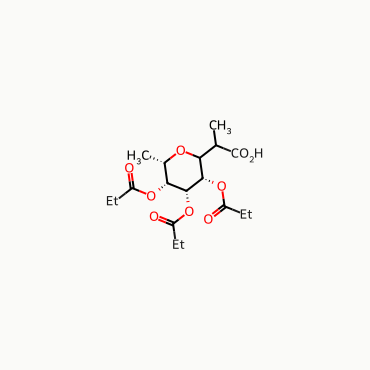 CCC(=O)O[C@@H]1[C@H](OC(=O)CC)[C@H](C)OC(C(C)C(=O)O)[C@@H]1OC(=O)CC